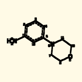 Nc1cc[c]c(N2CCOCC2)c1